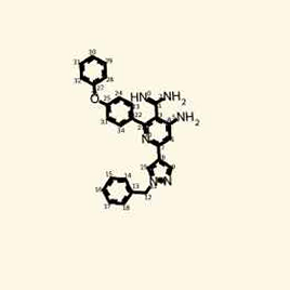 N=C(N)c1c(N)cc(-c2cnn(Cc3ccccc3)c2)nc1-c1ccc(Oc2ccccc2)cc1